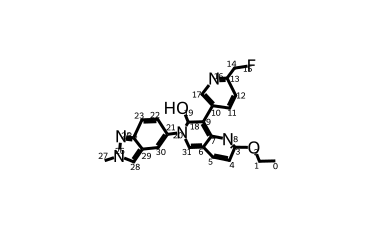 CCOc1ccc2c(n1)=C(c1ccc(CF)nc1)C(O)N(c1ccc3nn(C)cc3c1)C=2